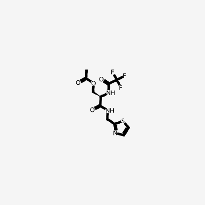 CC(=O)OC[C@@H](NC(=O)C(F)(F)F)C(=O)NCc1nccs1